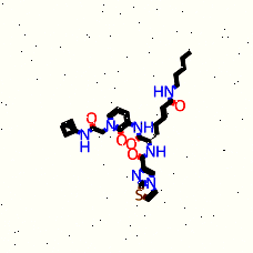 CCCCCNC(=O)/C=C/CC[C@H](NC(=O)c1cn2ccsc2n1)C(=O)Nc1cccn(CC(=O)NC23CC(C2)C3)c1=O